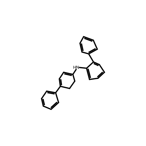 C1=C(Nc2ccccc2-c2ccccc2)CCC(c2ccccc2)=C1